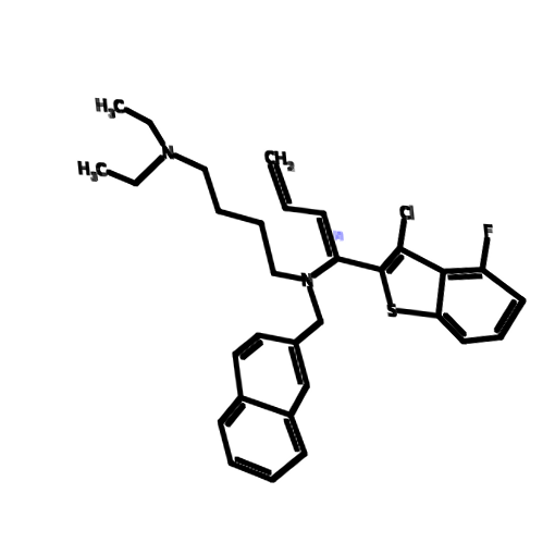 C=C/C=C(/c1sc2cccc(F)c2c1Cl)N(CCCCN(CC)CC)Cc1ccc2ccccc2c1